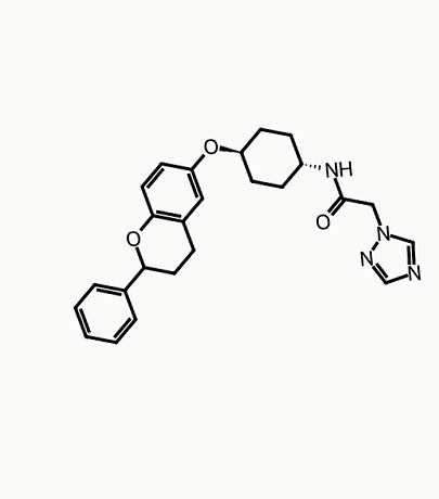 O=C(Cn1cncn1)N[C@H]1CC[C@H](Oc2ccc3c(c2)CCC(c2ccccc2)O3)CC1